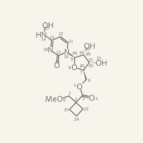 COCC1(C(=O)OC[C@H]2O[C@@H](n3ccc(NO)nc3=O)[C@H](O)[C@@H]2O)CCC1